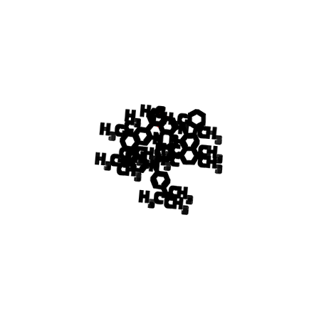 Cc1cc2c3c(c1)N1c4c(cc5c(c4B3c3ccc(N(c4ccc(C(C)(C)C)cc4)c4ccc(C(C)(C)C)cc4)cc3N2c2cc3c(cc2-c2ccccc2)C(C)(C)CCC3(C)C)C(C)(C)CCC5(C)C)C2(C)CCCCC12C